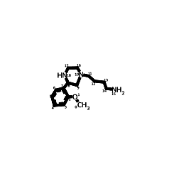 COc1ccccc1C1CN(CCCCN)CCN1